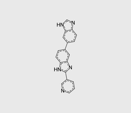 c1cncc(-c2nc3cc(-c4ccc5nc[nH]c5c4)ccc3[nH]2)c1